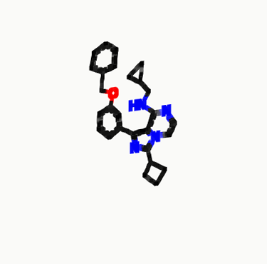 c1ccc(COc2cccc(-c3nc(C4CCC4)n4ccnc(NCC5CC5)c34)c2)cc1